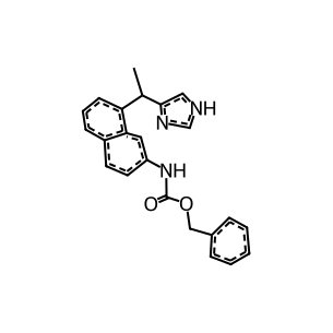 CC(c1c[nH]cn1)c1cccc2ccc(NC(=O)OCc3ccccc3)cc12